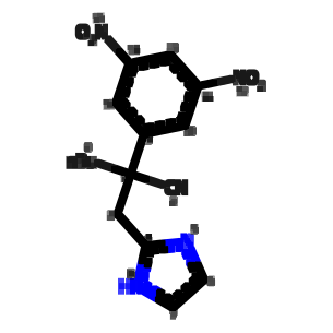 CCCCC(C#N)(Cc1ncc[nH]1)c1cc([N+](=O)[O-])cc([N+](=O)[O-])c1